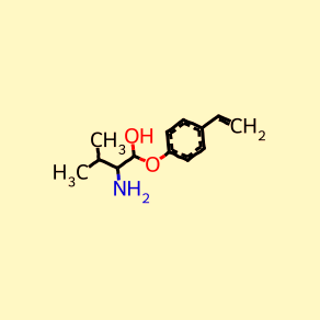 C=Cc1ccc(OC(O)C(N)C(C)C)cc1